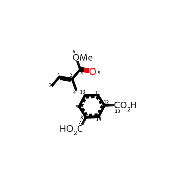 CC=C(C)C(=O)OC.O=C(O)c1cccc(C(=O)O)c1